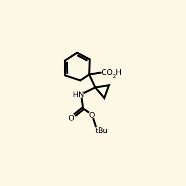 CC(C)(C)OC(=O)NC1(C2(C(=O)O)C=CC=CC2)CC1